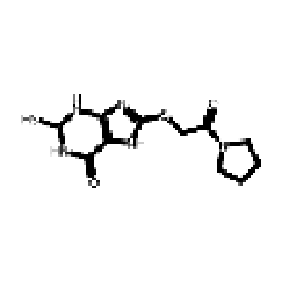 O=C1NC(S)Nc2nc(SCC(=O)N3CCCC3)[nH]c21